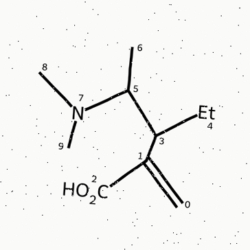 C=C(C(=O)O)C(CC)C(C)N(C)C